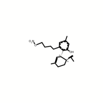 C=C(C)[C@H]1CCC(C)=C[C@@H]1c1c(O)cc(C)cc1CCCCO[N+](=O)[O-]